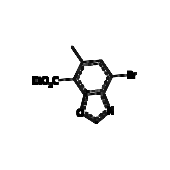 CCOC(=O)c1c(C)cc(Br)c2ncoc12